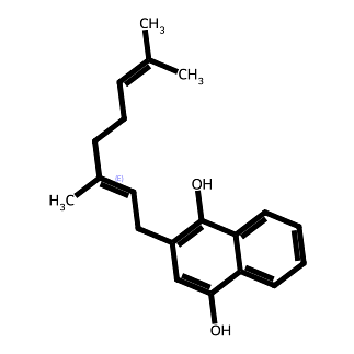 CC(C)=CCC/C(C)=C/Cc1cc(O)c2ccccc2c1O